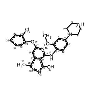 COc1cc(N2CCNCC2)ccc1Nc1nc(Oc2ccccc2Cl)cc2c(C)nnc(O)c12